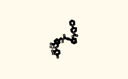 CN(Cc1cc(CNC(=O)C#Cc2ccccc2OC(=O)N2CCC(N3CCCCC3)CC2)ccc1C=O)C1CCC(=O)NC1=O